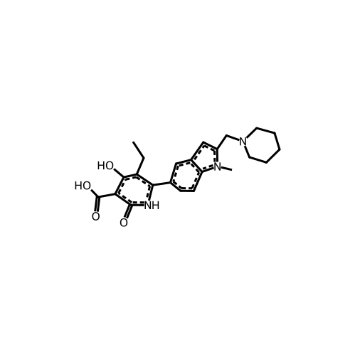 CCc1c(-c2ccc3c(c2)cc(CN2CCCCC2)n3C)[nH]c(=O)c(C(=O)O)c1O